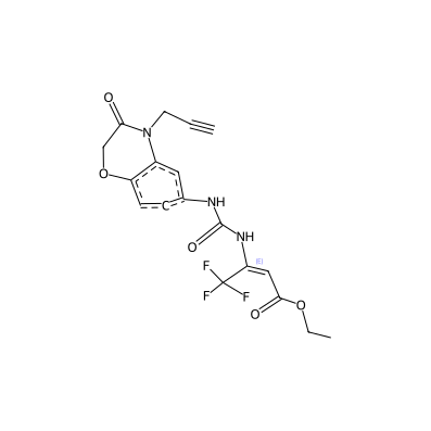 C#CCN1C(=O)COc2ccc(NC(=O)N/C(=C/C(=O)OCC)C(F)(F)F)cc21